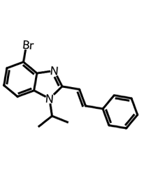 CC(C)n1c(C=Cc2ccccc2)nc2c(Br)cccc21